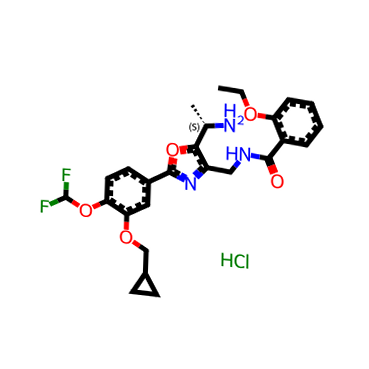 CCOc1ccccc1C(=O)NCc1nc(-c2ccc(OC(F)F)c(OCC3CC3)c2)oc1[C@H](C)N.Cl